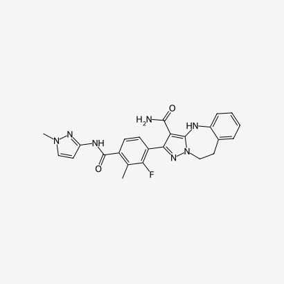 Cc1c(C(=O)Nc2ccn(C)n2)ccc(-c2nn3c(c2C(N)=O)Nc2ccccc2CC3)c1F